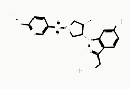 CC(C)Oc1ccc(S(=O)(=O)N2C[C@@H](C)[C@@H](n3nc(CC(=O)O)c4ccc(Cl)cc43)C2)cn1